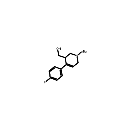 CCCCN1CC=C(c2ccc(F)cc2)C(CO)C1